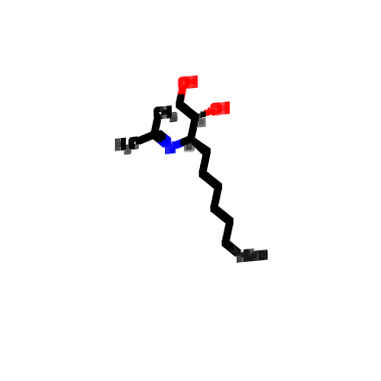 CCCCCCCCCCCCCCC[C@@H](N=C(C)C)[C@@H](O)CO